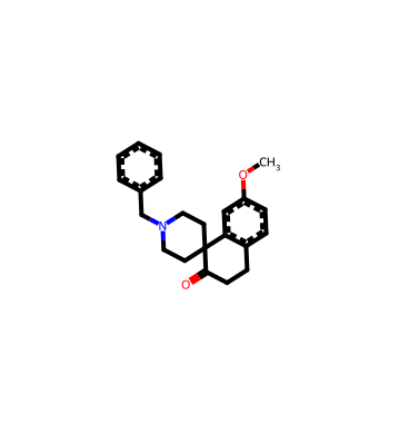 COc1ccc2c(c1)C1(CCN(Cc3ccccc3)CC1)C(=O)CC2